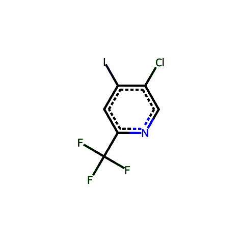 FC(F)(F)c1cc(I)c(Cl)cn1